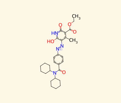 CCOC(=O)c1c(C)c(/N=N/c2ccc(C(=O)N(C3CCCCC3)C3CCCCC3)cc2)c(O)[nH]c1=O